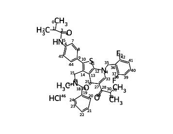 CC(C)C(=O)Nc1ccc(-c2sc3c(c2CN(C)Cc2ccccc2)c(=O)c(C(=O)C(C)C)cn3Cc2c(F)cccc2F)cc1.Cl